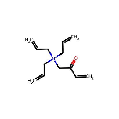 C=CC[N+](CC=C)(CC=C)CC(=O)C=C